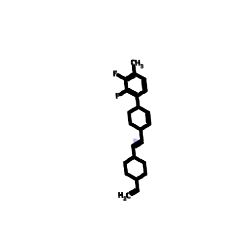 C=CC1CCC(/C=C/C2C=CC(c3ccc(C)c(F)c3F)CC2)CC1